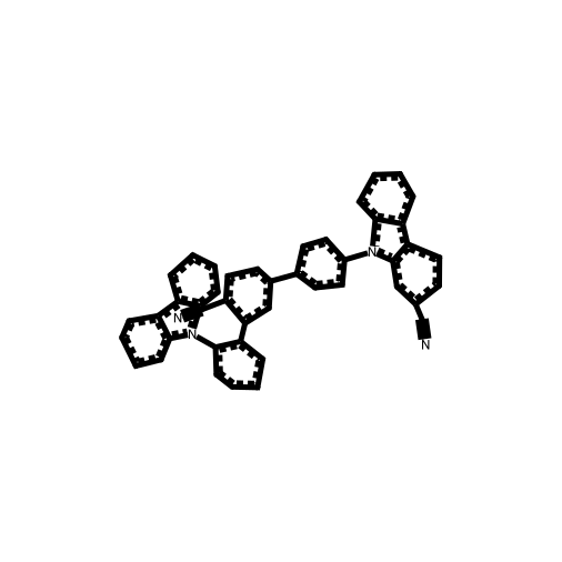 N#Cc1ccc2c3ccccc3n(-c3ccc(-c4ccc(C#N)c(-c5ccccc5-n5c6ccccc6c6ccccc65)c4)cc3)c2c1